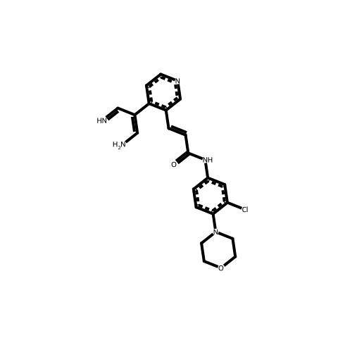 N=C/C(=C\N)c1ccncc1/C=C/C(=O)Nc1ccc(N2CCOCC2)c(Cl)c1